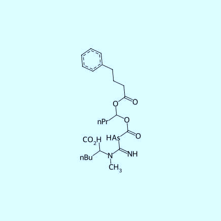 CCCCC(C(=O)O)N(C)C(=N)[AsH]C(=O)OC(CCC)OC(=O)CCCc1ccccc1